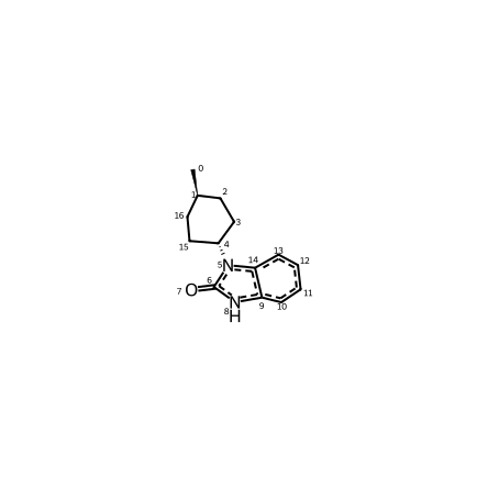 C[C@H]1CC[C@H](n2c(=O)[nH]c3ccccc32)CC1